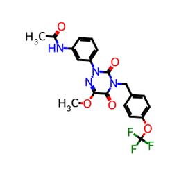 COc1nn(-c2cccc(NC(C)=O)c2)c(=O)n(Cc2ccc(OC(F)(F)F)cc2)c1=O